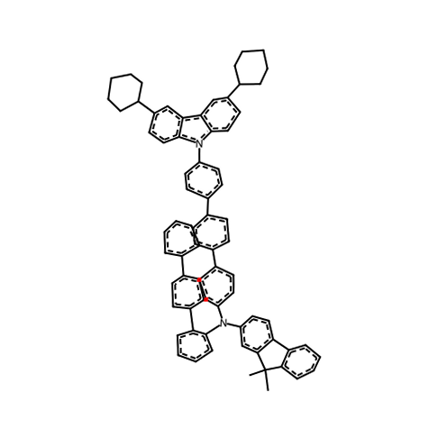 CC1(C)c2ccccc2-c2ccc(N(c3ccc(-c4ccc(-c5ccc(-n6c7ccc(C8CCCCC8)cc7c7cc(C8CCCCC8)ccc76)cc5)cc4)cc3)c3ccccc3-c3ccc(-c4ccccc4)cc3)cc21